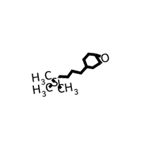 C[Si](C)(C)CCCCC1CCC2OC2C1